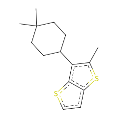 Cc1sc2ccsc2c1C1CCC(C)(C)CC1